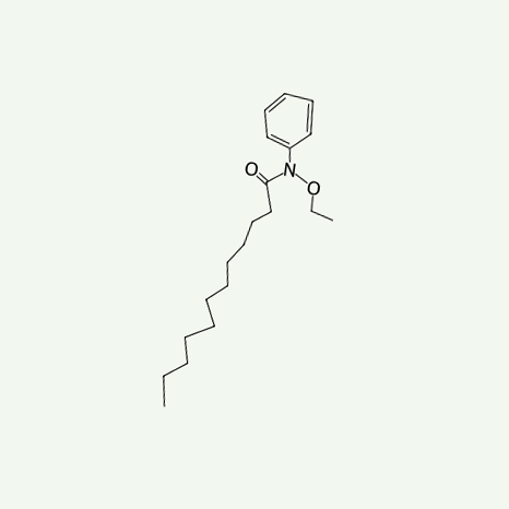 CCCCCCCCCCCC(=O)N(OCC)c1ccccc1